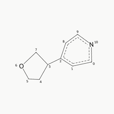 c1cc(C2CCOC2)ccn1